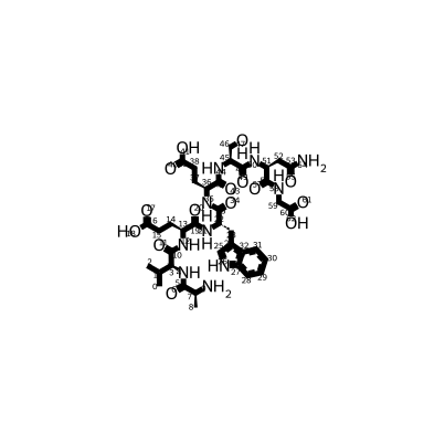 CC(C)[C@H](NC(=O)[C@H](C)N)C(=O)N[C@@H](CCC(=O)O)C(=O)N[C@@H](Cc1c[nH]c2ccccc12)C(=O)N[C@@H](CCC(=O)O)C(=O)N[C@@H](CO)C(=O)N[C@@H](CC(N)=O)C(=O)NCC(=O)O